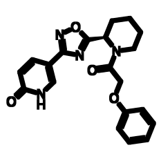 O=C(COc1ccccc1)N1CCCC[C@@H]1c1nc(-c2ccc(=O)[nH]c2)no1